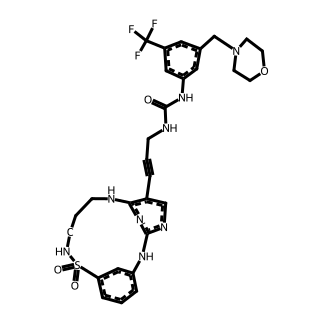 O=C(NCC#Cc1cnc2nc1NCCCNS(=O)(=O)c1cccc(c1)N2)Nc1cc(CN2CCOCC2)cc(C(F)(F)F)c1